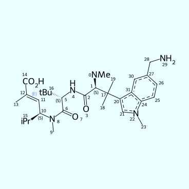 CN[C@H](C(=O)N[C@H](C(=O)N(C)[C@H](/C=C(\C)C(=O)O)C(C)C)C(C)(C)C)C(C)(C)c1cn(C)c2ccc(CN)cc12